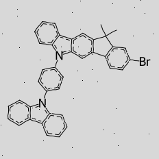 CC1(C)c2cc(Br)ccc2-c2cc3c(cc21)c1ccccc1n3-c1ccc(-n2c3ccccc3c3ccccc32)cc1